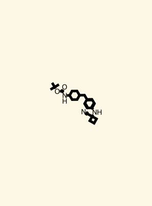 CC(C)(C)OC(=O)NC1CCC(Cc2ccc(NC3(C#N)CCC3)cc2)CC1